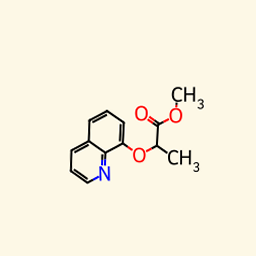 COC(=O)C(C)Oc1cccc2cccnc12